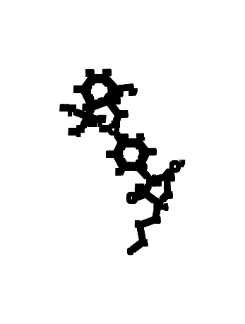 CCCCN1CC(=O)N(c2ccc(OCc3c(C)cccc3C(F)(F)F)cc2)C1=O